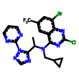 CC(c1ncnn1-c1ncccn1)N(CC1CC1)c1nc(Cl)nc2c(Br)cc(C(F)(F)F)cc12